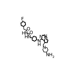 NC1CCN(Cc2ccn3ncnc(Nc4ccc(NC(=O)NC(=O)Cc5ccc(F)cc5)cc4)c23)CC1